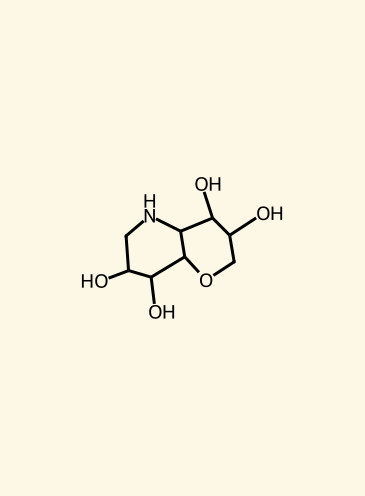 OC1COC2C(O)C(O)CNC2C1O